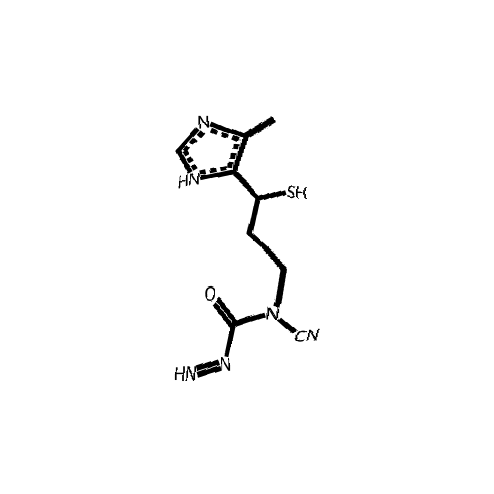 Cc1nc[nH]c1C(S)CCN(C#N)C(=O)N=N